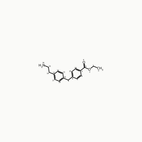 CCOC(=O)c1ccc(Cc2ccc(CCN)cc2)cc1